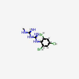 CNC(=N)NC(=N)Nc1c(Br)cc(Cl)cc1Br